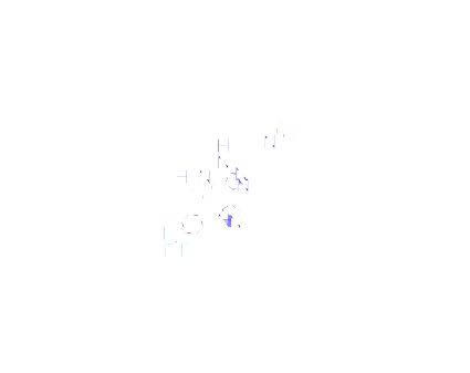 CC(C)(C)OC(=O)N1CCCC(n2nc(-c3cnn(Cc4cccc(C(F)(F)F)c4)c3)c(C(N)=O)c2N)CCC1